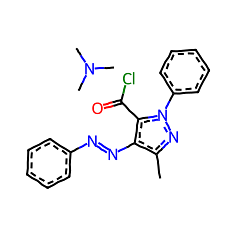 CN(C)C.Cc1nn(-c2ccccc2)c(C(=O)Cl)c1N=Nc1ccccc1